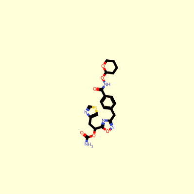 NC(=O)OC(Cc1cscn1)c1nc(Cc2ccc(C(=O)NOC3CCCCO3)cc2)no1